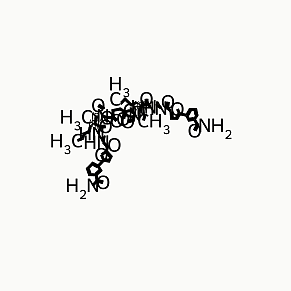 CCCCC[C@@H](C(=O)NCNC(=O)c1ccc(-c2cccc(C(N)=O)c2)o1)[C@@H](CC)N(C=O)OC(=O)CCC(=O)ON(C=O)[C@H](CC)[C@@H](CCCCC)C(=O)NCNC(=O)c1ccc(-c2cccc(C(N)=O)c2)o1